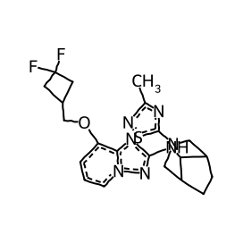 Cc1nsc(N2CC3CCC(C2)C3Nc2nc3c(OCC4CC(F)(F)C4)cccn3n2)n1